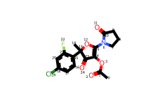 CC(=O)OC1=C(N2CCCC2=O)OC(C)(c2ccc(Cl)cc2F)C1=O